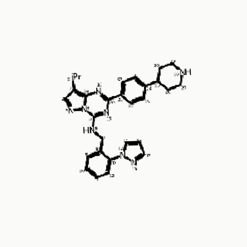 CC(C)c1cnn2c(NCc3ccccc3-n3cccn3)nc(-c3ccc(C4CCNCC4)cc3)nc12